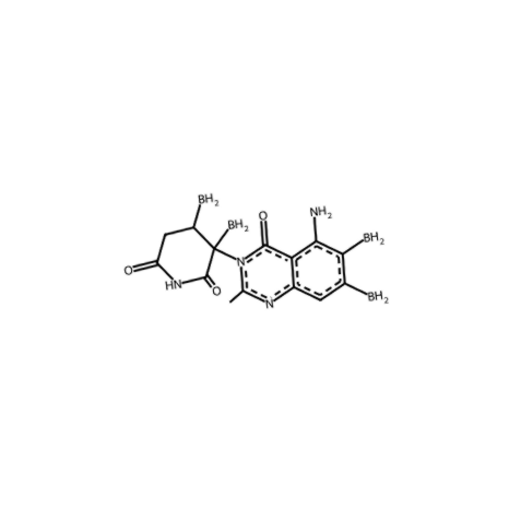 Bc1cc2nc(C)n(C3(B)C(=O)NC(=O)CC3B)c(=O)c2c(N)c1B